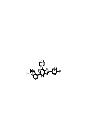 Fc1ccc(-c2cc3nc(-c4cccc5[nH]ncc45)nc(N4CCOCC4)c3s2)cn1